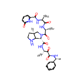 CCC[C@H](NC(=O)[C@@H]1C2NCC[C@H]2CN1C(=O)[C@@H](NC(=O)[C@@H](NC(=O)c1cccc(=O)[nH]1)C(C)(C)C)C(C)(C)C)C(=O)C(=O)N[C@@H](C)c1ccccc1